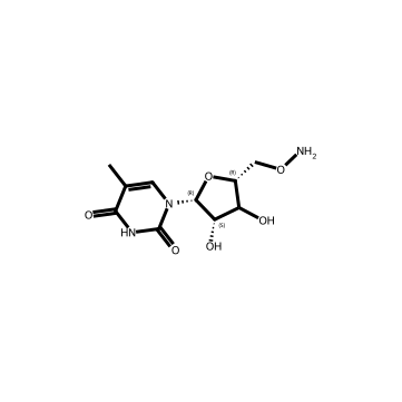 Cc1cn([C@@H]2O[C@H](CON)C(O)[C@@H]2O)c(=O)[nH]c1=O